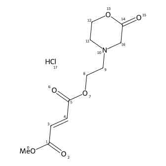 COC(=O)/C=C/C(=O)OCCN1CCOC(=O)C1.Cl